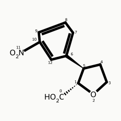 O=C(O)[C@H]1OCC[C@@H]1c1cccc([N+](=O)[O-])c1